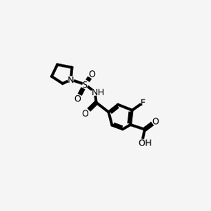 O=C(NS(=O)(=O)N1CCCC1)c1ccc(C(=O)O)c(F)c1